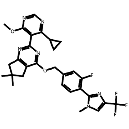 COc1ncnc(C2CC2)c1-c1nc2c(c(OCc3ccc(-c4nc(C(F)(F)F)cn4C)c(F)c3)n1)CC(C)(C)C2